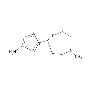 CN1CCCC(n2cc(N)cn2)CC1